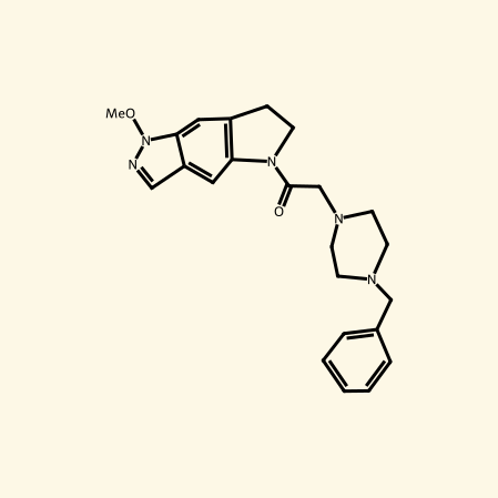 COn1ncc2cc3c(cc21)CCN3C(=O)CN1CCN(Cc2ccccc2)CC1